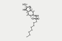 CCCCCCCCS(=O)(=O)Nc1ccc2[nH]c(S)nc2c1